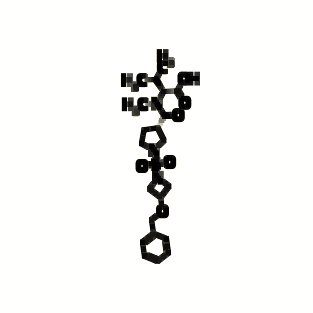 CC(C)[C@@H](C(=O)O)N(C)C(=O)[C@H]1CCN(S(=O)(=O)N2CC(OCc3ccccc3)C2)C1